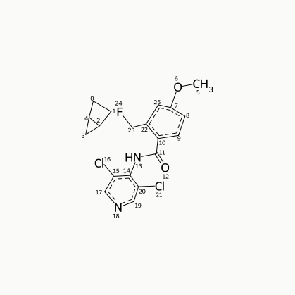 C1CC2CC12.COc1ccc(C(=O)Nc2c(Cl)cncc2Cl)c(CF)c1